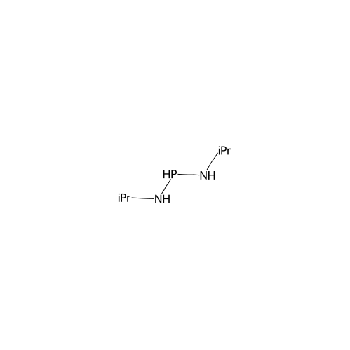 CC(C)NPNC(C)C